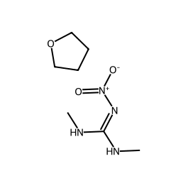 C1CCOC1.CNC(=N[N+](=O)[O-])NC